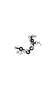 Cc1cc(C#N)ccc1COc1cccc(C2CCN(Cc3nc4oc(C(=O)O)cc4n3C)CC2)n1